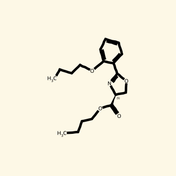 CCCCOC(=O)[C@@H]1COC(c2ccccc2OCCCC)=N1